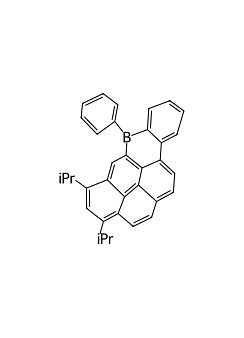 CC(C)c1cc(C(C)C)c2cc3c4c(ccc5ccc1c2c54)-c1ccccc1B3c1ccccc1